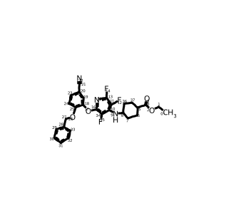 CCOC(=O)C1CCC(Nc2c(F)c(F)nc(Oc3cc(C#N)ccc3OCc3ccccc3)c2F)CC1